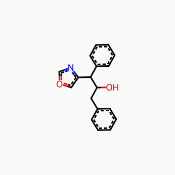 OC(Cc1ccccc1)C(c1ccccc1)c1cocn1